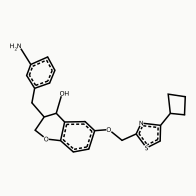 Nc1cccc(CC2COc3ccc(OCc4nc(C5CCC5)cs4)cc3C2O)c1